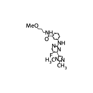 COCCCNC(=O)c1cccc(Nc2ncc(F)c(-c3cnc(C)n3C)n2)c1